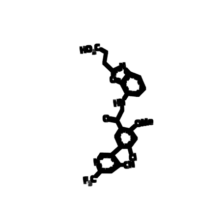 COc1cc(Cl)c(-c2cnc(C(F)(F)F)cc2C#N)cc1C(=O)CNc1cccc2nc(CCC(=O)O)oc12